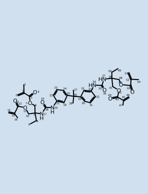 C=C(C)C(=O)OCC(CC)(COC(=O)C(=C)C)NC(=O)Nc1cccc(C(C)(C)c2cccc(NC(=O)NC(CC)(COC(=O)C(=C)C)COC(=O)C(=C)C)c2)c1